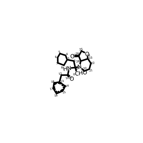 O=CC(CC1CCCCC1)(NC(=O)Cc1ccccc1)N1CCCC2OCC(=O)C21